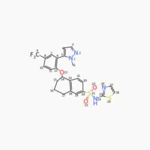 Cn1nccc1-c1cc(C(F)(F)F)ccc1OC1CCCc2cc(S(=O)(=O)Nc3nccs3)ccc21